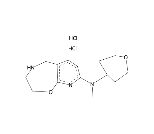 CN(c1ccc2c(n1)OCCNC2)C1CCOCC1.Cl.Cl